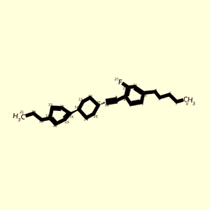 CCCCCc1ccc(C#C[C@H]2CC[C@H](c3ccc(CCC)cc3)CC2)c(F)c1